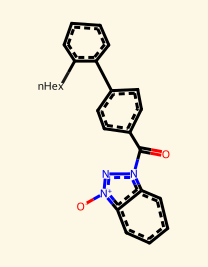 CCCCCCc1ccccc1-c1ccc(C(=O)n2n[n+]([O-])c3ccccc32)cc1